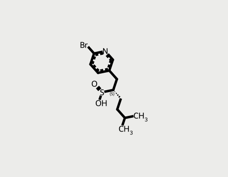 CC(C)CC[C@@H](Cc1ccc(Br)nc1)S(=O)O